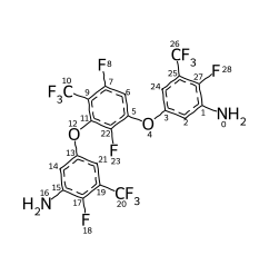 Nc1cc(Oc2cc(F)c(C(F)(F)F)c(Oc3cc(N)c(F)c(C(F)(F)F)c3)c2F)cc(C(F)(F)F)c1F